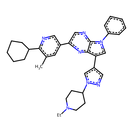 CCN1CCC(n2cc(-c3cn(-c4ccccc4)c4ncc(-c5cnc(C6CCCCC6)c(C)c5)nc34)cn2)CC1